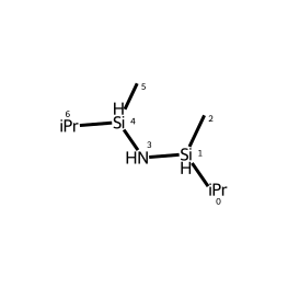 CC(C)[SiH](C)N[SiH](C)C(C)C